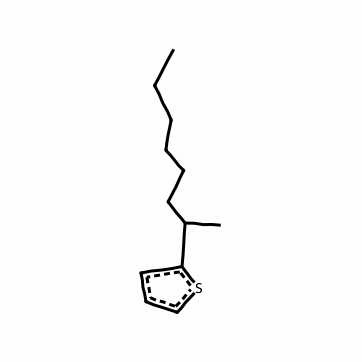 CCCCCCC(C)c1cccs1